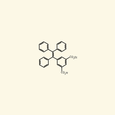 CCOC(=O)c1cc(C(=O)O)cc(C(=C(c2ccccc2)c2ccccc2)c2ccccc2)c1